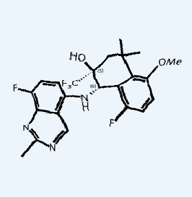 COc1ccc(F)c2c1C(C)(C)C[C@@](O)(C(F)(F)F)[C@H]2Nc1ccc(F)c2nc(C)ncc12